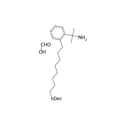 CCCCCCCCCCCCCCCCCCc1ccccc1C(C)(C)N.O=CO